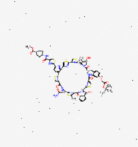 COC(=O)[C@H]1CC[C@H](NC(=O)c2csc(-c3ccc4c(n3)-c3csc(n3)-c3csc(n3)[C@@H]3[C@@H](C)[C@@H](O)CN3C(=O)[C@H](Cc3ccc(OCC(=O)OC(C)(C)C)cc3)NC(=O)c3csc(n3)[C@H]([C@H](O)c3ccccc3)NC(=O)c3nc(sc3C)[C@H](CC(N)=O)NC(=O)c3csc-4n3)n2)CC1